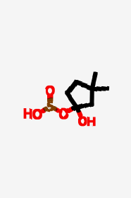 CC1(C)CCC(O)(OS(=O)O)C1